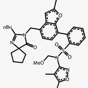 CCCCC1=NC2(CCCC2)C(=O)N1Cc1ccc(-c2ccccc2S(=O)(=O)N(COC)c2noc(C)c2C)c2oc(C)cc12